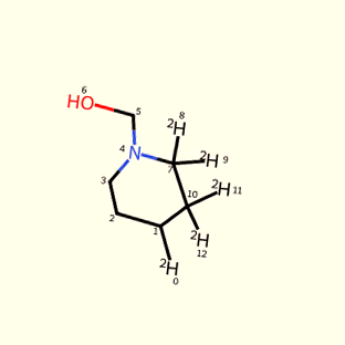 [2H]C1CCN(CO)C([2H])([2H])C1([2H])[2H]